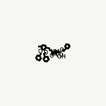 Cc1ccc(CCNC(=O)[C@H](CO)NC(=O)OCc2ccccc2)c(OCc2ccccc2)c1OCc1ccccc1